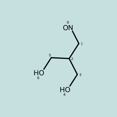 O=NCC(CO)CO